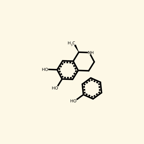 C[C@H]1NCCc2cc(O)c(O)cc21.Oc1ccccc1